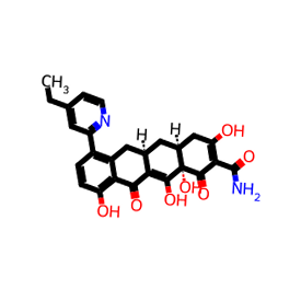 CCc1ccnc(-c2ccc(O)c3c2C[C@H]2C[C@H]4CC(O)=C(C(N)=O)C(=O)[C@@]4(O)C(O)=C2C3=O)c1